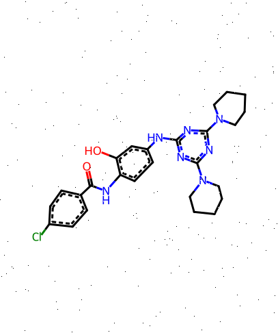 O=C(Nc1ccc(Nc2nc(N3CCCCC3)nc(N3CCCCC3)n2)cc1O)c1ccc(Cl)cc1